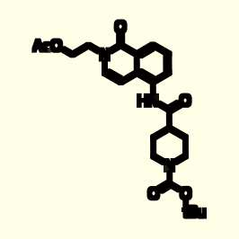 CC(=O)OCCn1ccc2c(NC(=O)C3CCN(C(=O)OC(C)(C)C)CC3)cccc2c1=O